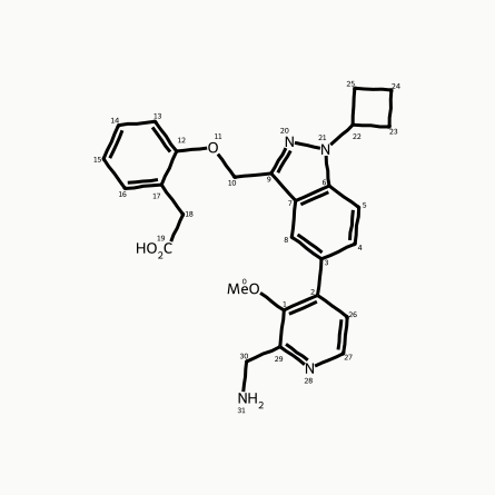 COc1c(-c2ccc3c(c2)c(COc2ccccc2CC(=O)O)nn3C2CCC2)ccnc1CN